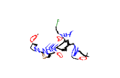 CO[C@H]1CCN(c2nc(C(=O)Nc3ccc(CN4CCOC(C)(C)C4)cc3C(=O)NCCCF)cs2)C1